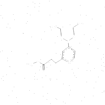 CCOP(OCC)c1ccnc(CCC(=O)OC)c1